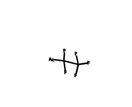 [CH2]C(=O)C(F)(F)C(F)(F)F